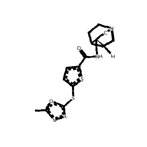 Cc1nnc(Sc2ccc(C(=O)N[C@H]3CN4CCC3CC4)s2)o1